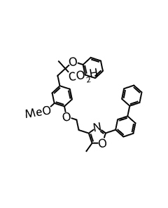 COc1cc(CC(C)(Oc2ccccc2)C(=O)O)ccc1OCCc1nc(-c2cccc(-c3ccccc3)c2)oc1C